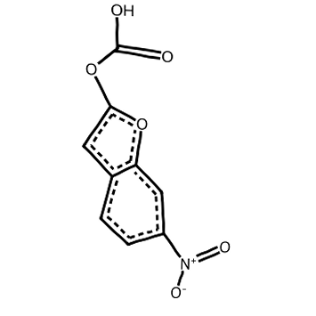 O=C(O)Oc1cc2ccc([N+](=O)[O-])cc2o1